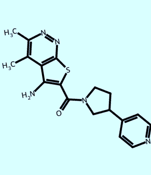 Cc1nnc2sc(C(=O)N3CCC(c4ccncc4)C3)c(N)c2c1C